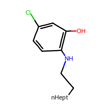 CCCCCCCCCNc1ccc(Cl)cc1O